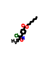 Bc1onc(C2CCC(C(=O)OCCCCCCC)CC2)c1Cl